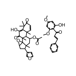 CC(=O)OC1CC2(C)C(c3ccoc3)CC3OC32C2(C)C(=O)C(O)=C3C(C)(C)C(=O)C=CC3(C)C12.COc1cc(O)c(C(=O)C=Cc2ccccc2)c(OC)c1